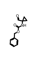 O=[C]C1(NC(=O)OCc2ccccc2)CC1